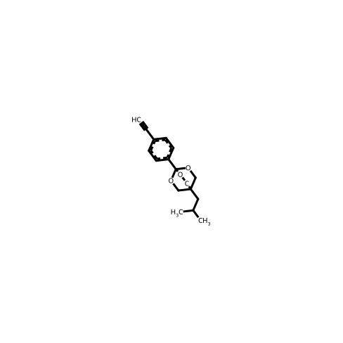 C#Cc1ccc(C23OCC(CC(C)C)(CO2)CO3)cc1